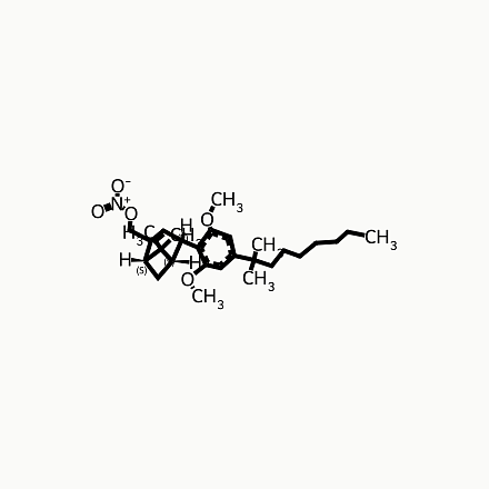 CCCCCCCC(C)(C)c1cc(OC)c([C@H]2C=C(CO[N+](=O)[O-])[C@H]3C[C@@H]2C3(C)C)c(OC)c1